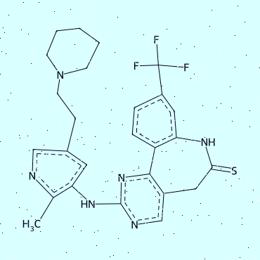 Cc1ncc(CCN2CCCCC2)cc1Nc1ncc2c(n1)-c1ccc(C(F)(F)F)cc1NC(=S)C2